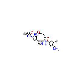 CC(C)COC(=O)Nc1ccc2c(c1)NC(=O)CCCCC(NC(=O)c1ccc(CN)c(C3CC3)c1)c1cc-2ccn1